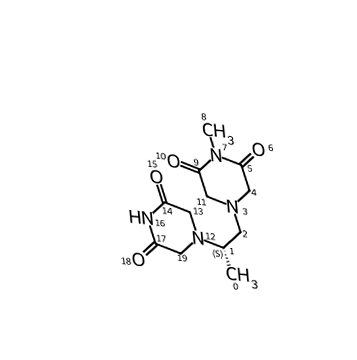 C[C@@H](CN1CC(=O)N(C)C(=O)C1)N1CC(=O)NC(=O)C1